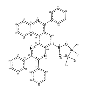 CC1(C)OB(c2cc3c(-c4ccccc4)nc4ccccc4c3c3nc(-c4ccccc4)c(-c4ccccc4)nc23)OC1(C)C